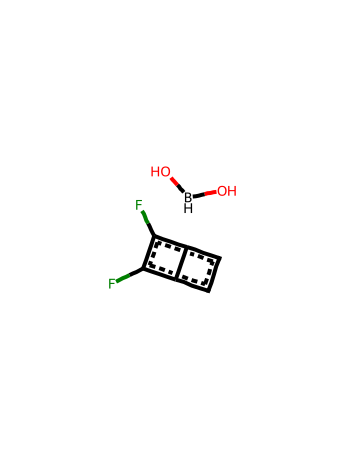 Fc1c2ccc-2c1F.OBO